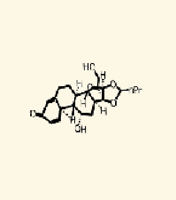 CCC[C@@H]1O[C@@H]2C[C@H]3[C@@H]4CCC5=CC(=O)C=C[C@@H]5[C@H]4[C@@H](O)C[C@@H]3[C@]2(C(=O)CO)O1